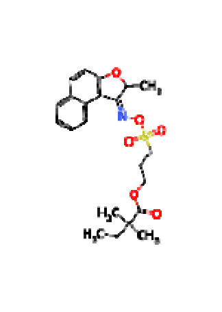 CCC(C)(C)C(=O)OCCCS(=O)(=O)O/N=C1/c2c(ccc3ccccc23)OC1C